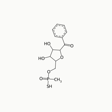 CP(=O)(S)OCC1OC(C(=O)c2ccccc2)C(O)C1O